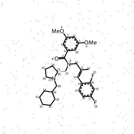 COc1cc(OC)cc(C(=O)N(CC(C)=Cc2ccc(F)cc2F)C[C@H]2CCCN2CC2CCCCC2)c1